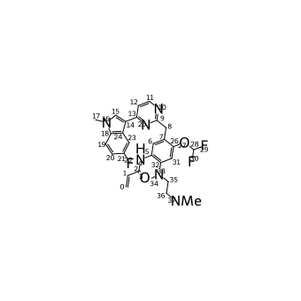 C=CC(=O)Nc1cc(Cc2nccc(-c3cn(C)c4ccc(F)cc34)n2)c(OC(F)F)cc1N(C)CCNC